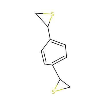 c1cc(C2CS2)ccc1C1CS1